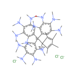 CC1=C(C)[C]([Ti+3])([Si](c2cc(N(C)C)c(N(C)C)c(N(C)C)c2N(C)C)(c2cc(N(C)C)c(N(C)C)c(N(C)C)c2N(C)C)c2cc(N(C)C)c(N(C)C)c(N(C)C)c2N(C)C)C(C)=C1C.[Cl-].[Cl-].[Cl-]